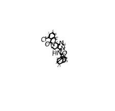 O=C(c1c(F)cccc1Cl)N1CCc2c(ncnc2NC(=O)C23CC4CC(CC(C4)C2)C3)C1